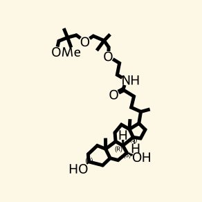 COCC(C)(C)COCC(C)(C)COCCNC(=O)CCC(C)C1CC[C@H]2[C@H]3C(CCC12C)C1(C)CC[C@@H](O)CC1C[C@@H]3O